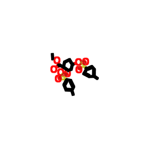 CCOC(=O)C1(OS(=O)(=O)c2ccc(C)cc2)CCC(OS(=O)(=O)c2ccc(C)cc2)CC1